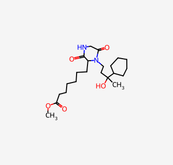 COC(=O)CCCCCCC1C(=O)NCC(=O)N1CCC(C)(O)C1CCCCC1